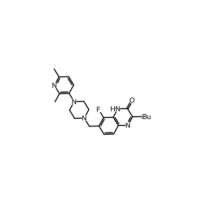 CCC(C)c1nc2ccc(CN3CCN(c4ccc(C)nc4C)CC3)c(F)c2[nH]c1=O